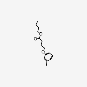 CCCCOC(=O)CCCOc1cccc(C)c1